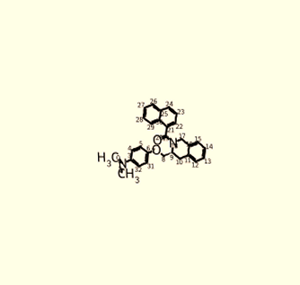 CN(C)c1ccc(OC[C@@H]2Cc3ccccc3CN2C(=O)c2cccc3ccccc23)cc1